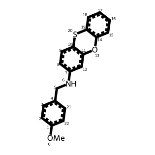 COc1ccc(CNc2ccc3c(c2)Oc2ccccc2S3)cc1